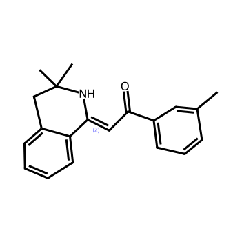 Cc1cccc(C(=O)/C=C2\NC(C)(C)Cc3ccccc32)c1